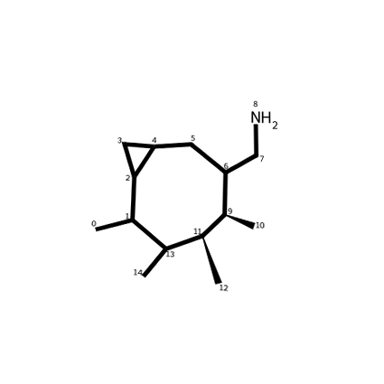 CC1C2CC2CC(CN)[C@@H](C)[C@@H](C)C1C